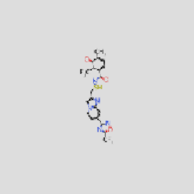 CC1=CC=C(C(=O)N=[SH]Cc2cn3ccc(-c4noc(C(F)(F)F)n4)cc3n2)C(C(F)(F)F)C1=O